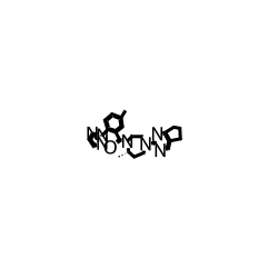 Cc1ccc(-n2nccn2)c(C(=O)N2CCN(c3ncc4c(n3)CCC4)CC[C@@H]2C)c1